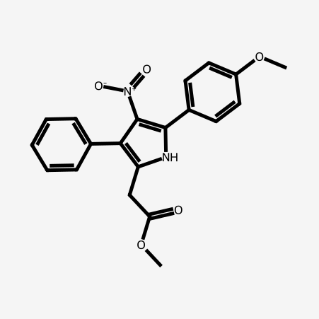 COC(=O)Cc1[nH]c(-c2ccc(OC)cc2)c([N+](=O)[O-])c1-c1ccccc1